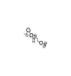 CC(=O)c1ccccc1-c1ccc2[nH]c(CCc3ccc(S(C)(=O)=O)cc3)nc2c1